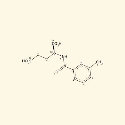 Cc1cccc(C(=O)N[C@@H](CCS(=O)(=O)O)C(=O)O)c1